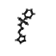 O=S(=O)(O/N=C/c1ccco1)c1ccccc1